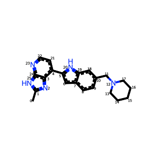 Cc1nc2c(-c3cc4ccc(CN5CCCCC5)cc4[nH]3)ccnc2[nH]1